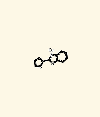 [Cu].c1csc(-c2nc3ccccc3s2)c1